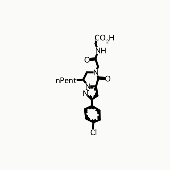 CCCCCC1CN(CC(=O)NCC(=O)O)C(=O)c2cc(-c3ccc(Cl)cc3)nn21